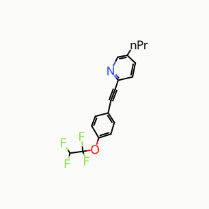 CCCc1ccc(C#Cc2ccc(OC(F)(F)C(F)F)cc2)nc1